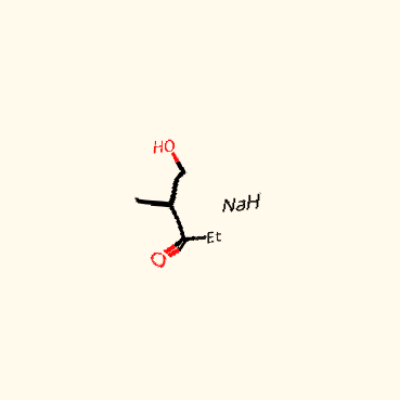 CCC(=O)C(C)CO.[NaH]